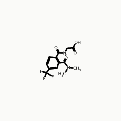 CN(C)c1nn(CC(=O)O)c(=O)c2ccc(C(F)(F)F)cc12